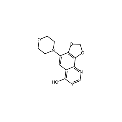 Oc1ncnc2c3c(c(N4CCOCC4)cc12)OCO3